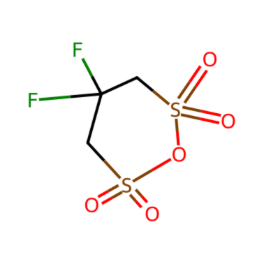 O=S1(=O)CC(F)(F)CS(=O)(=O)O1